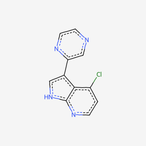 Clc1ccnc2[nH]cc(-c3cnccn3)c12